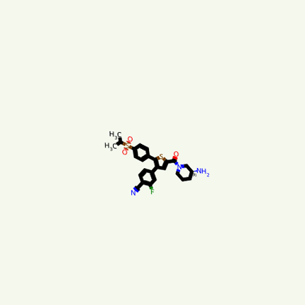 CC(C)S(=O)(=O)c1ccc(-c2sc(C(=O)N3CCC[C@@H](N)C3)cc2-c2ccc(C#N)c(F)c2)cc1